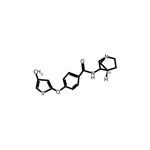 Cc1csc(Oc2ccc(C(=O)NC3CN4CC[C@H]3C4)cc2)c1